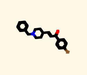 O=C(C=CC1CCN(Cc2ccccc2)CC1)c1ccc(Br)cc1